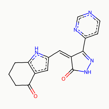 O=C1NN=C(c2ccncn2)C1=Cc1cc2c([nH]1)CCCC2=O